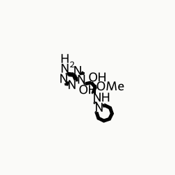 COC(CNCN1CCCCCCC1)C(O)C(O)n1cnc2c(N)ncnc21